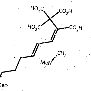 CCCCCCCCCCCCCC=CC=C(C(=O)O)C(C(=O)O)(C(=O)O)C(=O)O.CNC